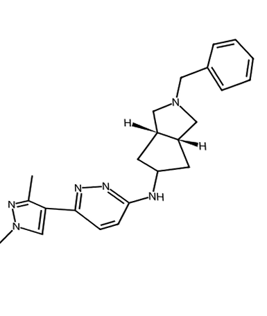 Cc1nn(C)cc1-c1ccc(NC2C[C@@H]3CN(Cc4ccccc4)C[C@@H]3C2)nn1